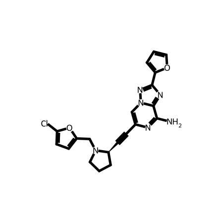 Nc1nc(C#C[C@H]2CCCN2Cc2ccc(Cl)o2)cn2nc(-c3ccco3)nc12